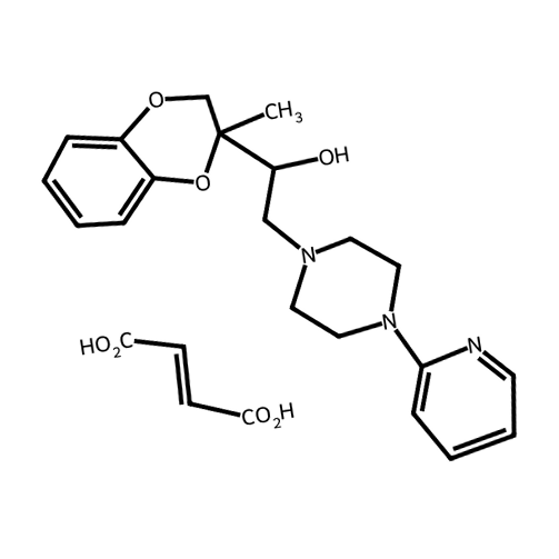 CC1(C(O)CN2CCN(c3ccccn3)CC2)COc2ccccc2O1.O=C(O)C=CC(=O)O